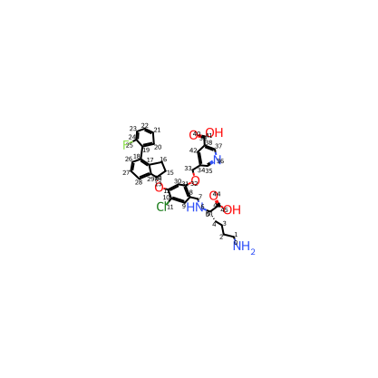 NCCCC[C@H](NCc1cc(Cl)c(O[C@H]2CCc3c(-c4ccccc4F)cccc32)cc1OCc1cncc(C(=O)O)c1)C(=O)O